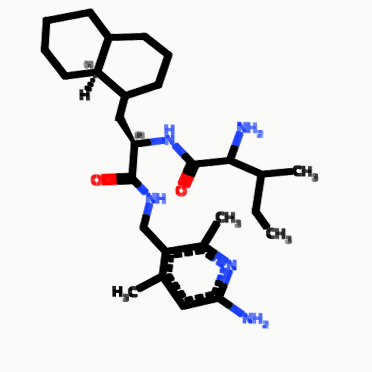 CCC(C)C(N)C(=O)N[C@H](CC1CCCC2CCCC[C@@H]21)C(=O)NCc1c(C)cc(N)nc1C